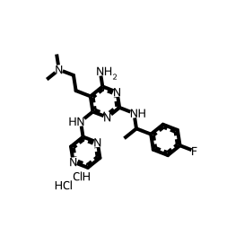 CC(Nc1nc(N)c(CCN(C)C)c(Nc2cnccn2)n1)c1ccc(F)cc1.Cl.Cl